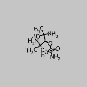 CC(N)(O)C(OS(N)(=O)=O)C(C)(N)O